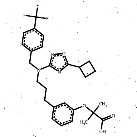 CC(C)(Oc1cccc(CCCN(Cc2ccc(C(F)(F)F)cc2)c2noc(C3CCC3)n2)c1)C(=O)O